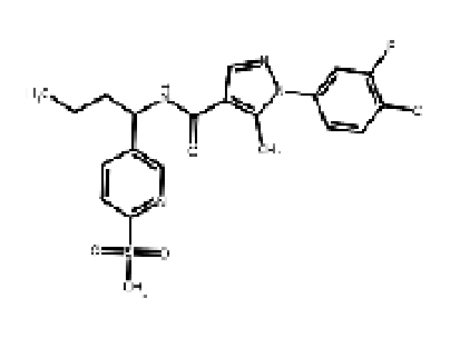 CCCC(NC(=O)c1cnn(-c2ccc(Cl)c(F)c2)c1C)c1ccc(S(C)(=O)=O)nc1